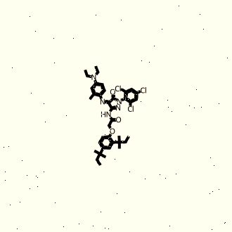 CCN(CC)c1ccc(/N=C2\C(=O)N(c3c(Cl)cc(Cl)cc3Cl)N=C2NC(=O)COc2ccc(C(C)(C)CC)cc2C(C)(C)CC)c(C)c1